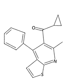 Cc1nc2sccc2c(-c2ccccc2)c1C(=O)C1CC1